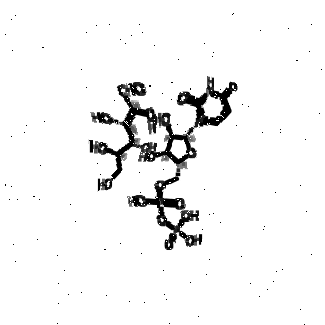 O=C[C@@H](O)[C@@H](O)[C@H](O)[C@H](O)CO.O=c1ccn([C@@H]2O[C@H](COP(=O)(O)OP(=O)(O)O)[C@@H](O)[C@H]2O)c(=O)[nH]1